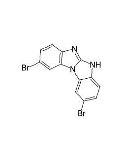 Brc1ccc2nc3[nH]c4ccc(Br)cc4n3c2c1